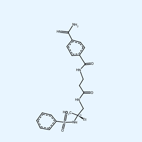 CC[C@@](CNC(=O)CCNC(=O)c1ccc(C(=N)N)cc1)(NS(=O)(=O)c1ccccc1)C(=O)O